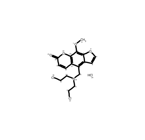 COc1c2occc2c(CN(CCCl)CCCl)c2ccc(=O)oc12.Cl